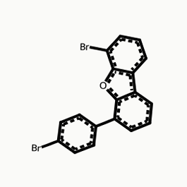 Brc1ccc(-c2cccc3c2oc2c(Br)cccc23)cc1